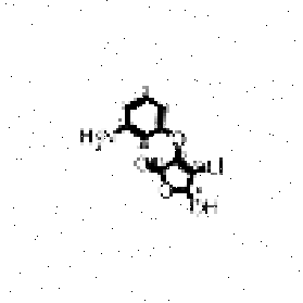 Nc1cccc(OC2=C(Cl)C(O)OC2=O)c1